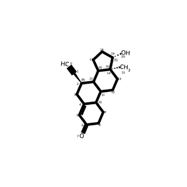 C#C[C@@H]1CC2=CC(=O)CCC2C2CC[C@@]3(C)C(CC[C@@H]3O)C21